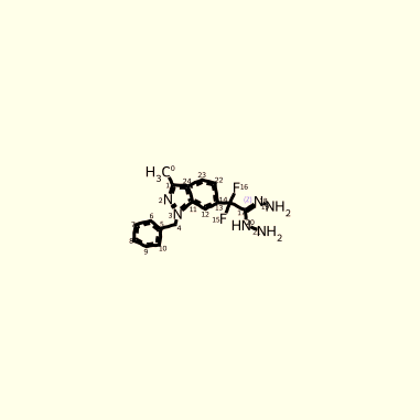 Cc1nn(Cc2ccccc2)c2cc(C(F)(F)/C(=N/N)NN)ccc12